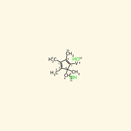 CC1=C(C)C(C)(C)[C]([V])=C1C.Cl.Cl